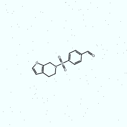 O=Cc1ccc(S(=O)(=O)N2CCc3ccoc3C2)cc1